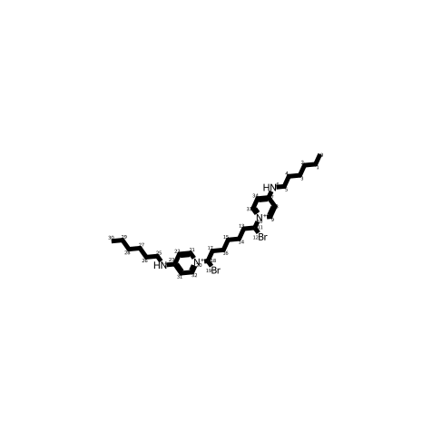 CCCCCCNc1cc[n+](C(Br)CCCCCC(Br)[n+]2ccc(NCCCCCC)cc2)cc1